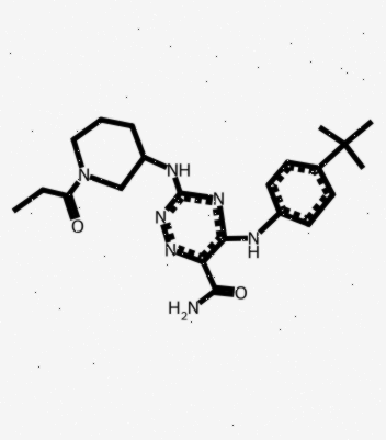 CCC(=O)N1CCCC(Nc2nnc(C(N)=O)c(Nc3ccc(C(C)(C)C)cc3)n2)C1